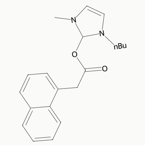 CCCCN1C=CN(C)C1OC(=O)Cc1cccc2ccccc12